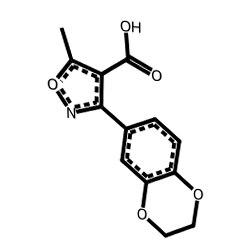 Cc1onc(-c2ccc3c(c2)OCCO3)c1C(=O)O